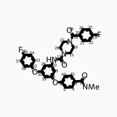 CNC(=O)c1ccc(Oc2cc(NC(=O)N3CCN(C(=O)c4ccc(F)cc4)CC3)cc(Oc3ccc(F)cc3)c2)cc1